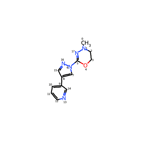 CN1CCOC(n2cc(-c3cccnc3)cn2)=N1